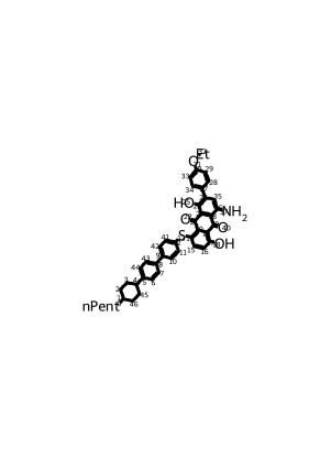 CCCCCC1CCC(c2ccc(-c3ccc(Sc4ccc(O)c5c4C(=O)c4c(O)c(-c6ccc(OCC)cc6)cc(N)c4C5=O)cc3)cc2)CC1